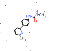 CNC(=O)Nc1ccc(-c2cccc(C)n2)cc1